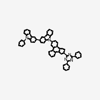 c1ccc(-c2nc(-c3ccccc3)nc(-c3ccc4c5ccc(-n6c7ccccc7c7cc(-c8ccc9c(c8)c8ccccc8n9-c8ccccc8)ccc76)cc5c5ccccc5c4c3)n2)cc1